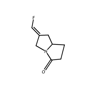 O=C1CCC2CC(=CF)CN12